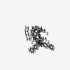 Bc1c(B)c(B)c2c(sc3c(B)c(-c4nc(-c5ccc(-c6ccccc6)cc5)nc(-c5ccc(-c6ccccc6)cc5)n4)c(B)c(B)c32)c1B